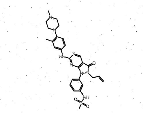 C=CCn1c(=O)c2cnc(Nc3ccc(N4CCN(C)CC4)c(C)c3)nc2n1-c1cccc(NS(C)(=O)=O)c1